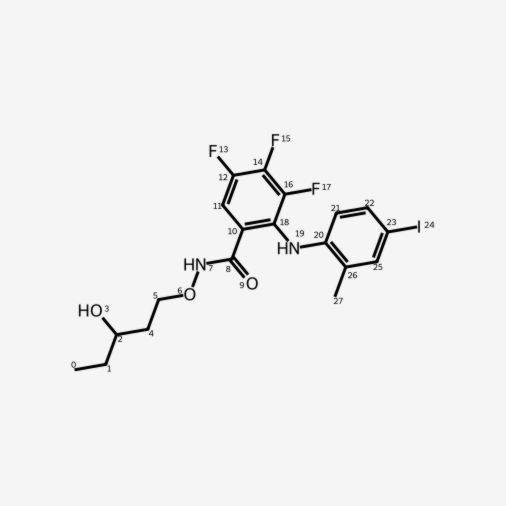 CCC(O)CCONC(=O)c1cc(F)c(F)c(F)c1Nc1ccc(I)cc1C